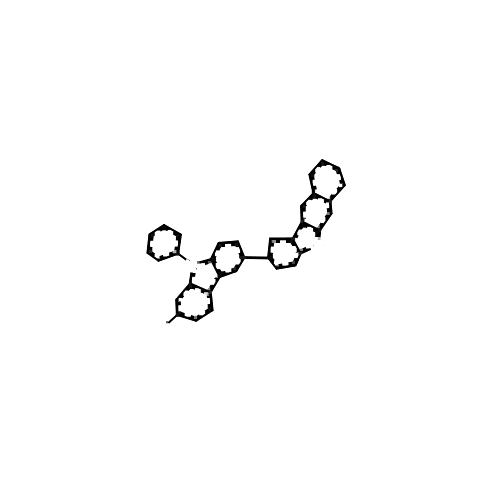 Clc1ccc2c3cc(-c4ccc5oc6cc7ccccc7cc6c5c4)ccc3n(-c3ccccc3)c2c1